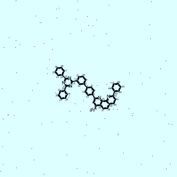 CC(C)c1cc(-c2ccc(-c3cccc(-c4nc(-c5ccccc5)nc(-c5ccccc5)n4)c3)cc2)nc2c1ccc1ccc(-c3ccccc3)nc12